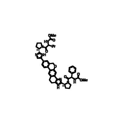 COC(=O)NC(C(=O)N1CCC[C@H]1c1nc2c([nH]1)CCc1cc3c(cc1-2)OCc1cc(-c2cnc([C@@H]4CCCN4C(=O)C(NC(=O)OC)C(C)C)[nH]2)ccc1-3)c1ccccc1